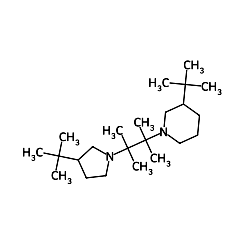 CC(C)(C)C1CCCN(C(C)(C)C(C)(C)N2CCC(C(C)(C)C)C2)C1